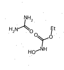 CCOC(=O)NO.NC(N)=O